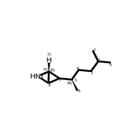 CC(C)CC[C@@H](C)C1C2N[C@@H]21